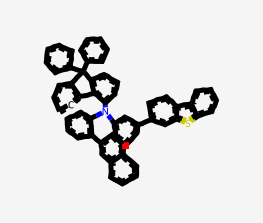 c1ccc(C2(c3ccccc3)c3ccccc3-c3c(N(c4cccc(-c5ccc6c(c5)sc5ccccc56)c4)c4ccccc4-c4ccc5ccccc5c4)cccc32)cc1